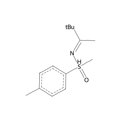 C/C(=N\[SH](C)(=O)c1ccc(C)cc1)C(C)(C)C